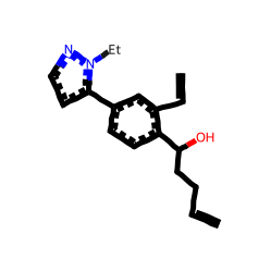 C=CCCC(O)c1ccc(-c2ccnn2CC)cc1C=C